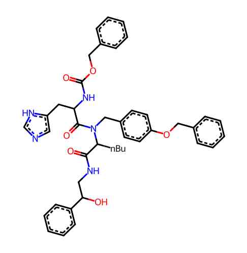 CCCCC(C(=O)NCC(O)c1ccccc1)N(Cc1ccc(OCc2ccccc2)cc1)C(=O)C(Cc1cnc[nH]1)NC(=O)OCc1ccccc1